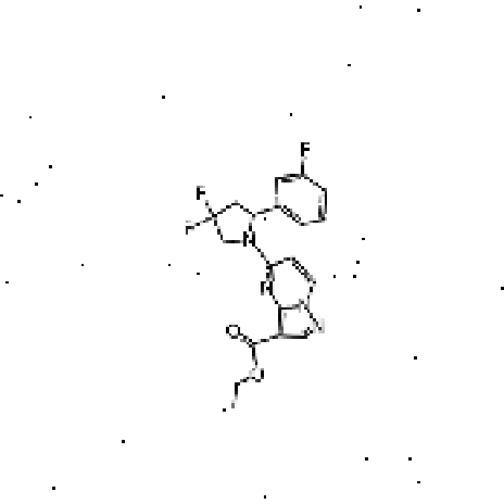 CCOC(=O)c1cnn2ccc(N3CC(F)(F)CC3c3cccc(F)c3)nc12